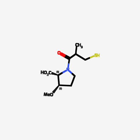 CO[C@@H]1CCN(C(=O)C(C)CS)[C@@H]1C(=O)O